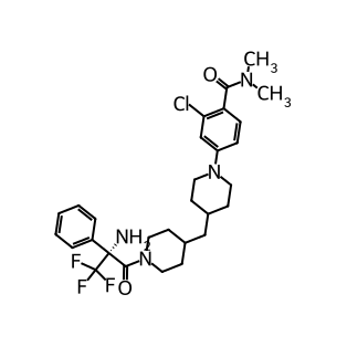 CN(C)C(=O)c1ccc(N2CCC(CC3CCN(C(=O)[C@](N)(c4ccccc4)C(F)(F)F)CC3)CC2)cc1Cl